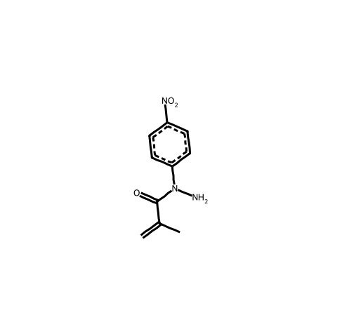 C=C(C)C(=O)N(N)c1ccc([N+](=O)[O-])cc1